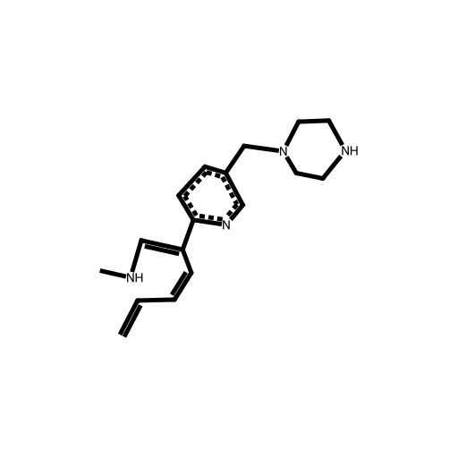 C=C/C=C\C(=C/NC)c1ccc(CN2CCNCC2)cn1